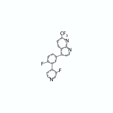 Fc1cnccc1-c1cc(-c2ccnc3nc(C(F)(F)F)ccc23)ccc1F